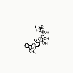 Cn1nc(Cn2c(=O)ccn(C3OC(COP(=O)(O)OP(=O)(O)O)C(O)[C@@H]3O)c2=O)c2ccccc21